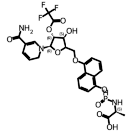 C[C@H](N[PH](=O)Oc1cccc2c(OCC3O[C@@H](N4C=C(C(N)=O)C=CC4)[C@H](OC(=O)C(F)(F)F)[C@H]3O)cccc12)C(=O)O